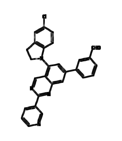 O=Cc1cccc(-c2cc(N3CCc4cc(Cl)ccc43)c3cnc(-c4cccnc4)nc3c2)c1